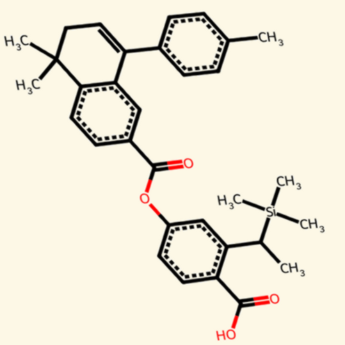 Cc1ccc(C2=CCC(C)(C)c3ccc(C(=O)Oc4ccc(C(=O)O)c(C(C)[Si](C)(C)C)c4)cc32)cc1